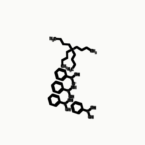 CCCC[N+](CCCC)(CCCC)CCCC.OB(O)c1ccccc1.OB(O)c1ccccc1.OB(O)c1ccccc1.[O-]B(O)c1ccccc1